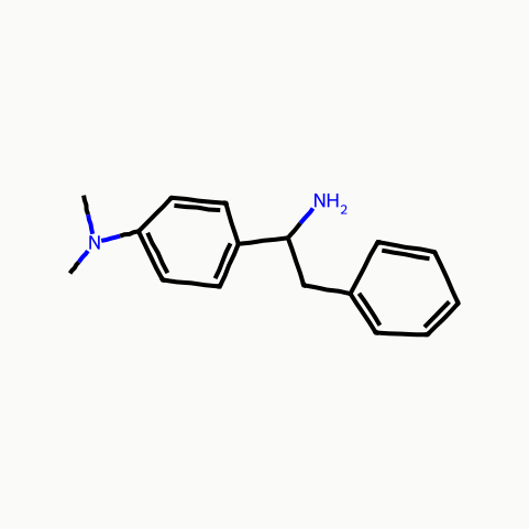 CN(C)c1ccc(C(N)Cc2ccccc2)cc1